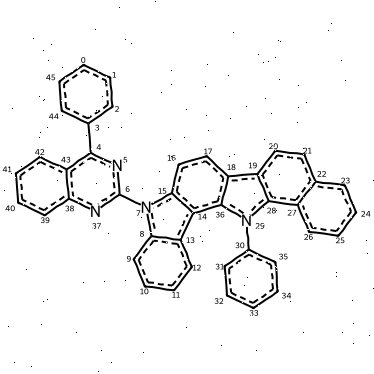 c1ccc(-c2nc(-n3c4ccccc4c4c3ccc3c5ccc6ccccc6c5n(-c5ccccc5)c34)nc3ccccc23)cc1